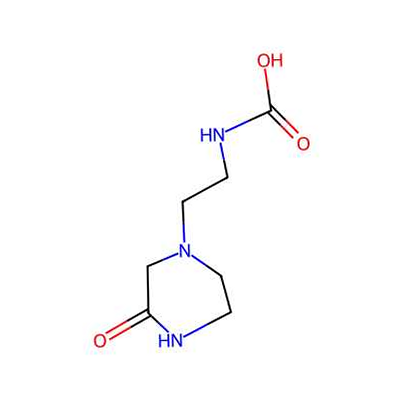 O=C(O)NCCN1CCNC(=O)C1